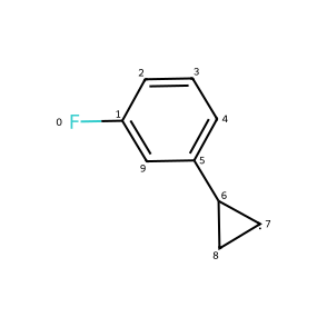 Fc1cccc(C2[CH]C2)c1